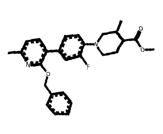 COC(=O)C1CCN(c2ccc(-c3ccc(C)nc3OCc3ccccc3)cc2F)CC1C